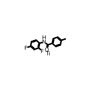 Cc1ccc(C(=O)Nc2ccc(F)[c]c2F)cc1.[Ti]